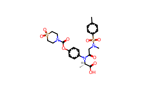 Cc1ccc(S(=O)(=O)N(C)CC(=O)N(c2ccc(OC(=O)N3CCS(=O)(=O)CC3)cc2)[C@@H](C)C(=O)O)cc1